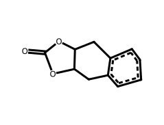 O=C1OC2Cc3ccccc3CC2O1